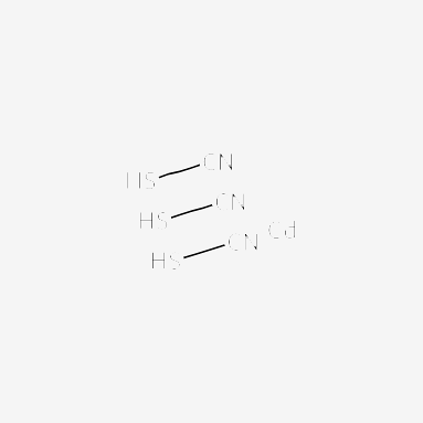 N#CS.N#CS.N#CS.[Cd]